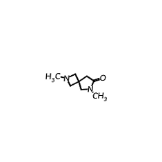 CN1CC2(CC(=O)N(C)C2)C1